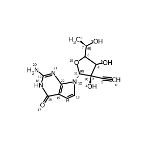 C#C[C@@]1(O)C(O)C([C@@H](C)O)O[C@H]1n1ccc2c(=O)[nH]c(N)nc21